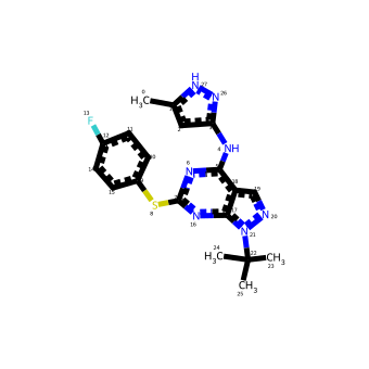 Cc1cc(Nc2nc(Sc3ccc(F)cc3)nc3c2cnn3C(C)(C)C)n[nH]1